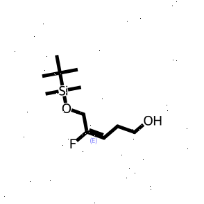 CC(C)(C)[Si](C)(C)OC/C(F)=C\CCO